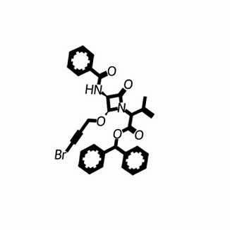 C=C(C)C(C(=O)OC(c1ccccc1)c1ccccc1)N1C(=O)[C@H](NC(=O)c2ccccc2)[C@H]1OCC#CBr